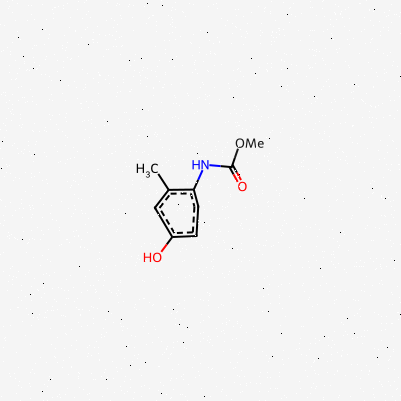 COC(=O)Nc1ccc(O)cc1C